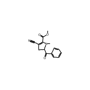 COC(=O)C1=C(C#N)CC(C(=O)c2ccccc2)N1C